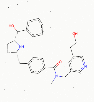 CN(Cc1cncc(CCO)c1)C(=O)c1ccc(C[C@@H]2CC[C@H](C(O)c3ccccc3)N2)cc1